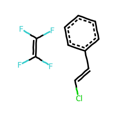 ClC=Cc1ccccc1.FC(F)=C(F)F